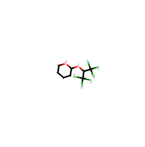 BrC(Br)(Br)C(OC1CCCCO1)C(Br)(Br)Br